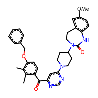 COc1ccc2c(c1)CCN(C1CCN(c3cc(C(=O)c4ccc(OCc5ccccc5)c(C)c4C)ncn3)CC1)C(=O)N2